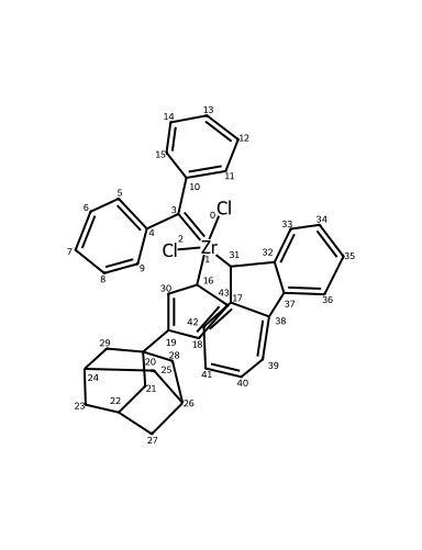 [Cl][Zr]([Cl])(=[C](c1ccccc1)c1ccccc1)([CH]1C=CC(C23CC4CC(CC(C4)C2)C3)=C1)[CH]1c2ccccc2-c2ccccc21